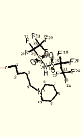 CCCCCN1CCCCC1.O=S(=O)(NS(=O)(=O)C(F)(F)C(F)(F)F)C(F)(F)C(F)(F)F